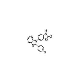 O=c1[nH]c2ccc(-n3c(-c4ccc(F)cc4)nc4cccnc43)cc2o1